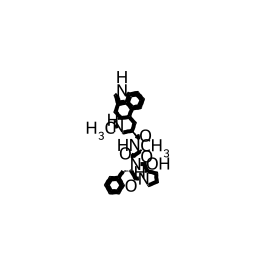 CN1C[C@H](C(=O)N[C@@]2(C)OC3(O)[C@@H]4CCCN4C(=O)[C@H](Cc4ccccc4)N3C2=O)CC2c3cccc4[nH]cc(c34)C[C@H]21